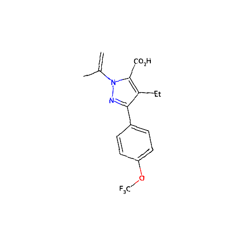 C=C(C)n1nc(-c2ccc(OC(F)(F)F)cc2)c(CC)c1C(=O)O